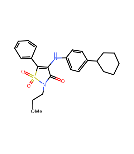 COCCN1C(=O)C(Nc2ccc(C3CCCCC3)cc2)=C(c2ccccc2)S1(=O)=O